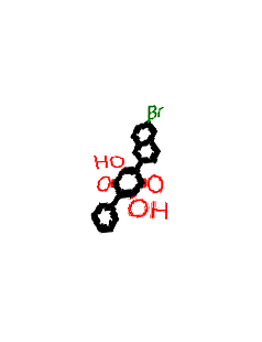 O=C1C(O)=C(c2ccc3cc(Br)ccc3c2)C(=O)C(O)=C1c1ccccc1